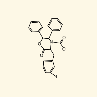 O=C1OC(c2ccccc2)C(c2ccccc2)N(C(=O)O)C1Cc1cccc(I)c1